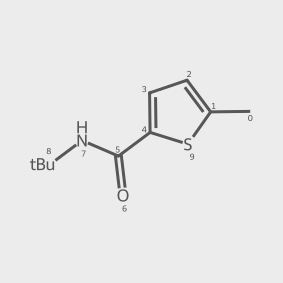 Cc1ccc(C(=O)NC(C)(C)C)s1